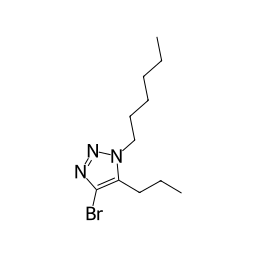 CCCCCCn1nnc(Br)c1CCC